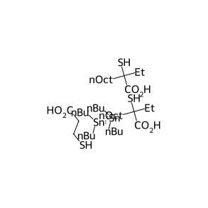 CCCCCCCCC(S)(CC)C(=O)O.CCCCCCCCC(S)(CC)C(=O)O.CCC[CH2][Sn][CH2]CCC.CCC[CH2][Sn][CH2]CCC.O=C(O)CCS